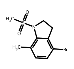 Cc1ccc(Br)c2c1N(S(C)(=O)=O)CC2